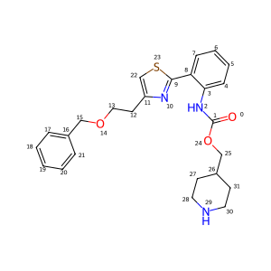 O=C(Nc1ccccc1-c1nc(CCOCc2ccccc2)cs1)OCC1CCNCC1